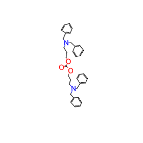 O=C(OCCCN(Cc1ccccc1)Cc1ccccc1)OCCCN(Cc1ccccc1)Cc1ccccc1